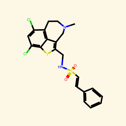 CN1CCc2c(Cl)cc(Cl)c3sc(CNS(=O)(=O)/C=C/c4ccccc4)c(c23)C1